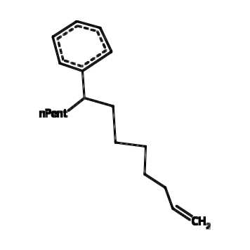 C=CCCCCCC(CCCCC)c1ccccc1